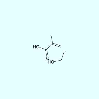 C=C(C)C(=O)O.[CH2]CO